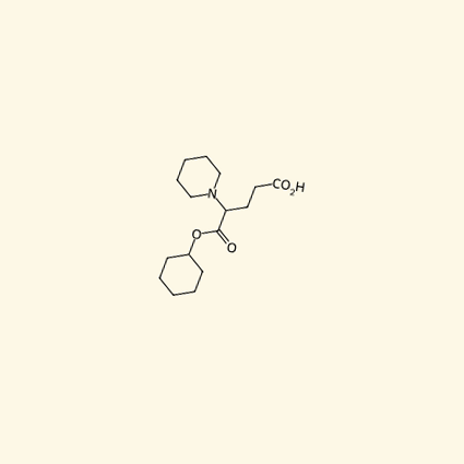 O=C(O)CCC(C(=O)OC1CCCCC1)N1CCCCC1